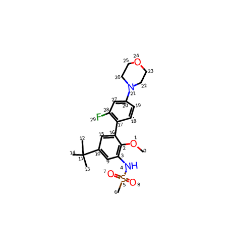 COc1c(NS(C)(=O)=O)cc(C(C)(C)C)cc1-c1[c]cc(N2CCOCC2)cc1F